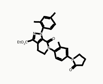 CCOC(=O)c1nn(-c2ccc(C)cc2C)c2c1CCN(c1ccc(N3CCCC3=O)cc1C)C2=O